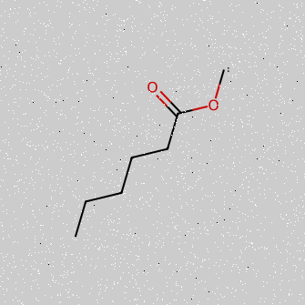 [CH]OC(=O)CCCCC